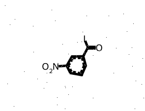 O=C(I)c1cccc([N+](=O)[O-])c1